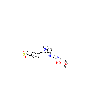 [2H]C([2H])([2H])OCC(O)CN1CCC(Nc2cccc3c2cc(C#CCCc2ccc(S(C)(=O)=O)cc2OC)n3CC(F)(F)F)CC1